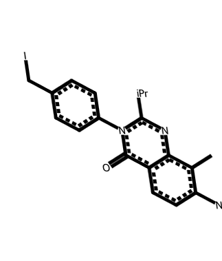 Cc1c(N)ccc2c(=O)n(-c3ccc(CI)cc3)c(C(C)C)nc12